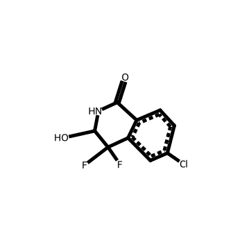 O=C1NC(O)C(F)(F)c2cc(Cl)ccc21